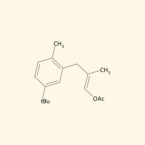 CC(=O)OC=C(C)Cc1cc(C(C)(C)C)ccc1C